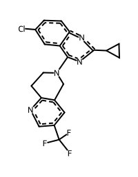 FC(F)(F)c1cnc2c(c1)CN(c1nc(C3CC3)nc3ccc(Cl)cc13)CC2